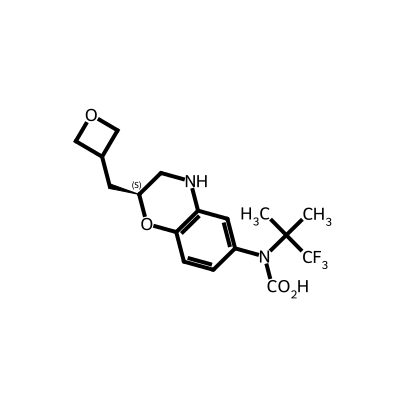 CC(C)(N(C(=O)O)c1ccc2c(c1)NC[C@H](CC1COC1)O2)C(F)(F)F